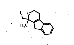 CC1(CI)OCCC2=C1Cc1ccccc12